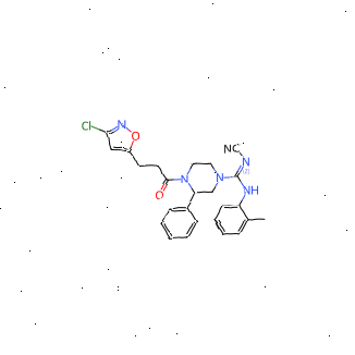 Cc1ccccc1N/C(=N/C#N)N1CCN(C(=O)CCc2cc(Cl)no2)C(c2ccccc2)C1